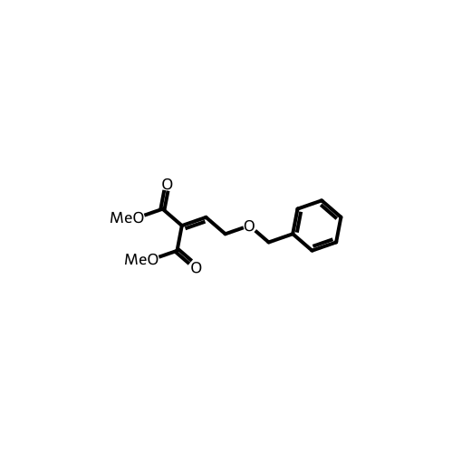 COC(=O)C(=CCOCc1ccccc1)C(=O)OC